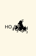 CN(C)C(=O)C(Cc1cscn1)CN1CCC2(CC1)OCc1ccc(F)cc12.O=C(O)CC(O)(CC(=O)O)C(=O)O